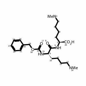 CNCCCC[C@H](NC(=O)[C@H](CCCCNC)NC(=O)OCc1ccccc1)C(=O)O